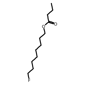 CCCC(=O)OCCCCCCCCF